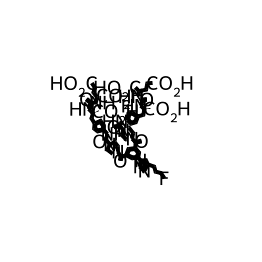 O=C(O)CCC(NC(=O)N[C@@H](Cc1ccc(NC(=O)N2CCN(C(=O)c3cc(C(=O)N4CCN(C(=O)Nc5ccc(C[C@H](NC(=O)NC(CCC(=O)O)C(=O)O)C(=O)O)cc5)CC4)cc(-n4cc(CCCF)nn4)c3)CC2)cc1)C(=O)O)C(=O)O